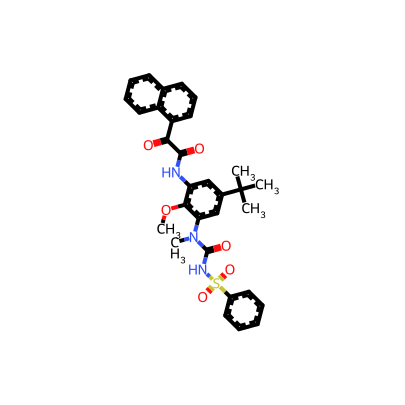 COc1c(NC(=O)C(=O)c2cccc3ccccc23)cc(C(C)(C)C)cc1N(C)C(=O)NS(=O)(=O)c1ccccc1